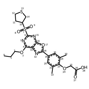 CCCOc1nc(S(=O)(=O)C2CCSC2)nc2oc(-c3cc(C)c(OCC(=O)O)c(C)c3)nc12